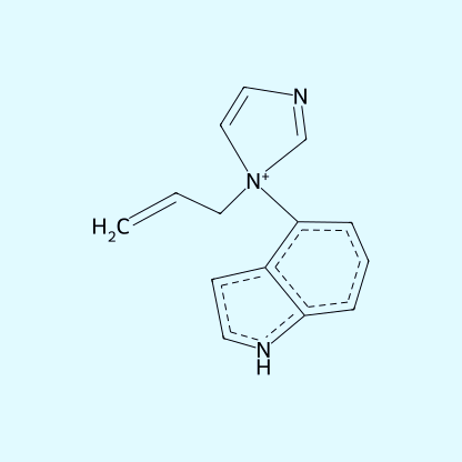 C=CC[N+]1(c2cccc3[nH]ccc23)C=CN=C1